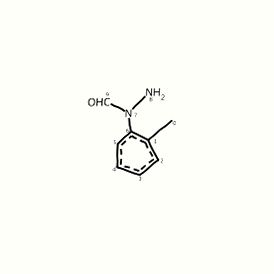 Cc1ccccc1N(N)C=O